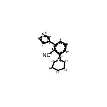 N#Cc1c(-c2ccsc2)cccc1N1CCCCC1